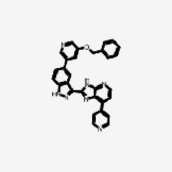 c1ccc(COc2cncc(-c3ccc4[nH]nc(-c5nc6c(-c7ccncc7)ccnc6[nH]5)c4c3)c2)cc1